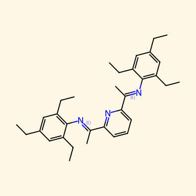 CCc1cc(CC)c(/N=C(\C)c2cccc(/C(C)=N/c3c(CC)cc(CC)cc3CC)n2)c(CC)c1